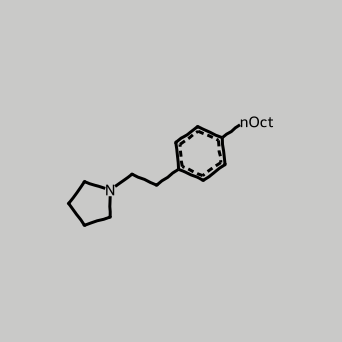 CCCCCCCCc1ccc(CCN2CCCC2)cc1